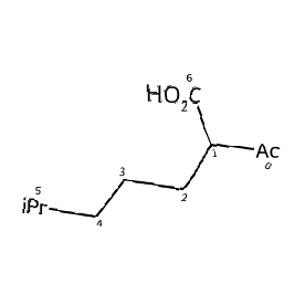 CC(=O)C(CCCC(C)C)C(=O)O